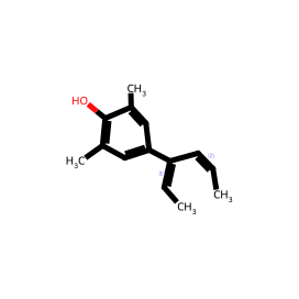 C/C=C\C(=C/C)c1cc(C)c(O)c(C)c1